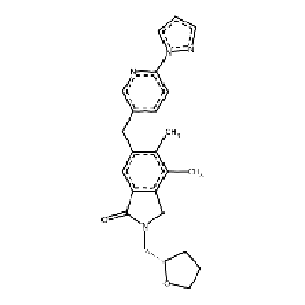 Cc1c(Cc2ccc(-n3cccn3)nc2)cc2c(c1C)CN(C[C@@H]1CCCO1)C2=O